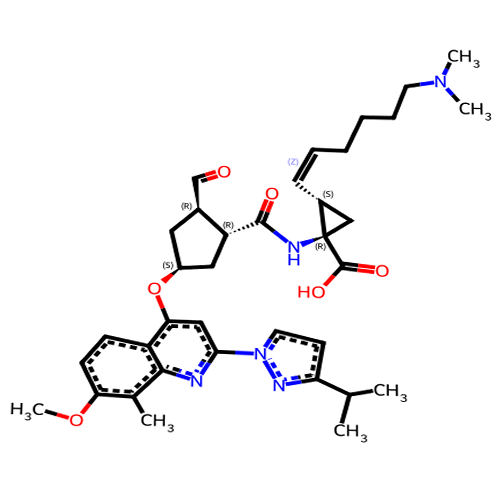 COc1ccc2c(O[C@H]3C[C@@H](C=O)[C@H](C(=O)N[C@]4(C(=O)O)C[C@H]4/C=C\CCCCN(C)C)C3)cc(-n3ccc(C(C)C)n3)nc2c1C